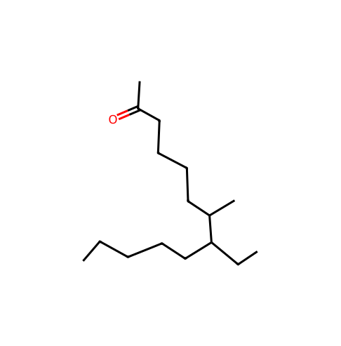 CCCCCC(CC)C(C)CCCCC(C)=O